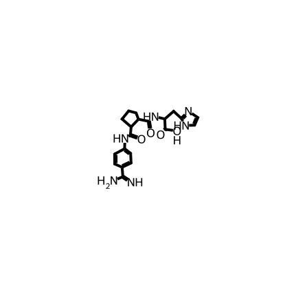 N=C(N)c1ccc(NC(=O)C2CCCC2C(=O)NC(Cc2ncc[nH]2)C(=O)O)cc1